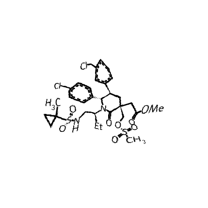 CC[C@@H](CNS(=O)(=O)C1(C)CC1)N1C(=O)[C@@](COS(C)(=O)=O)(CC(=O)OC)C[C@H](c2cccc(Cl)c2)[C@H]1c1ccc(Cl)cc1